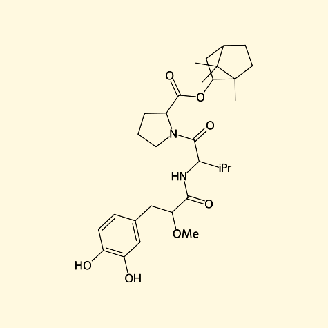 COC(Cc1ccc(O)c(O)c1)C(=O)NC(C(=O)N1CCCC1C(=O)OC1CC2CCC1(C)C2(C)C)C(C)C